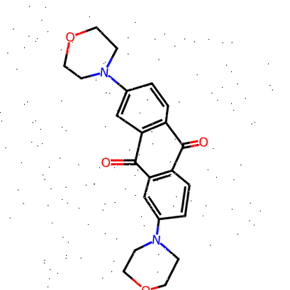 O=C1c2ccc(N3CCOCC3)cc2C(=O)c2cc(N3CCOCC3)ccc21